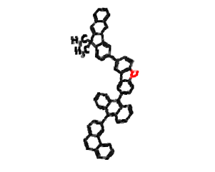 CC1(C)c2ccc(-c3ccc4oc5ccc(-c6c7ccccc7c(-c7ccc8ccc9ccccc9c8c7)c7ccccc67)cc5c4c3)cc2-c2cc3ccccc3cc21